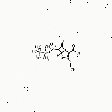 CCSC1=C(C(=O)O)N2C(=O)[C@H]([C@@H](C)O[Si](C)(C)C(C)(C)C)[C@H]2S1